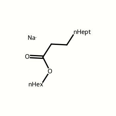 CCCCCCCCCC(=O)OCCCCCC.[Na]